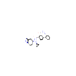 COc1cc(-c2ccccc2C#N)ccc1C(=O)N(C1CC1)C1CCc2[nH]ncc2C1